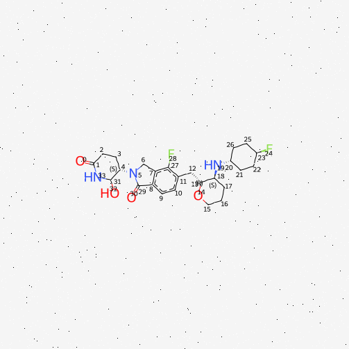 O=C1CC[C@H](N2Cc3c(ccc(C[C@H]4OCCC[C@@H]4N[C@H]4CC[C@H](F)CC4)c3F)C2=O)C(O)N1